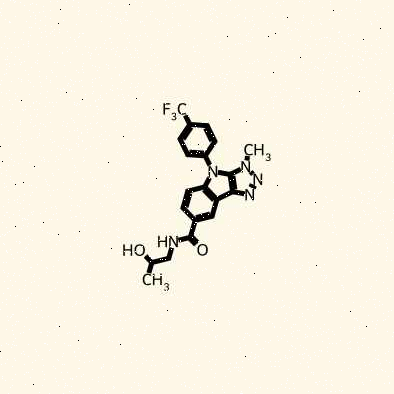 CC(O)CNC(=O)c1ccc2c(c1)c1nnn(C)c1n2-c1ccc(C(F)(F)F)cc1